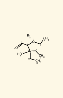 CCOC(C=O)[N+](C)(CC)CC.[Br-]